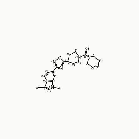 Cc1nn(C)c2cc(-c3noc(C4CCN(C(=O)N5CCOCC5)CC4)n3)ccc12